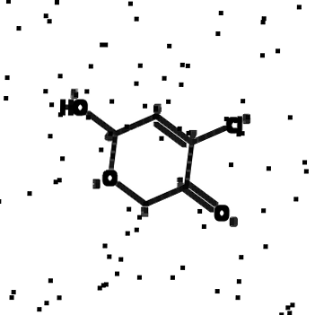 O=C1COC(O)C=C1Cl